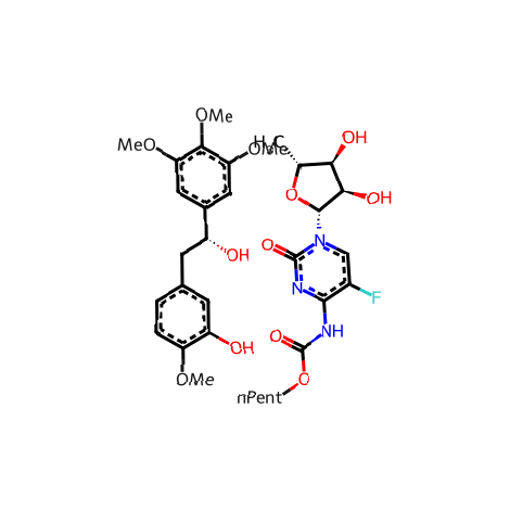 CCCCCOC(=O)Nc1nc(=O)n([C@@H]2O[C@H](C)[C@@H](O)[C@H]2O)cc1F.COc1ccc(C[C@@H](O)c2cc(OC)c(OC)c(OC)c2)cc1O